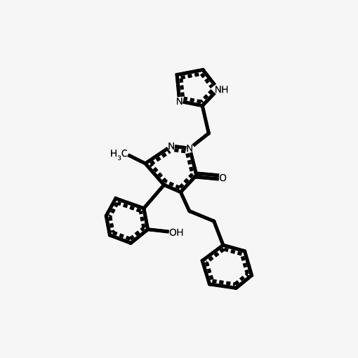 Cc1nn(Cc2ncc[nH]2)c(=O)c(CCc2ccccc2)c1-c1ccccc1O